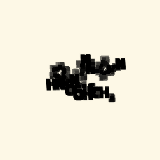 CSCC[C@@H](C(=O)O)N(CCc1cncn1Cc1ccc(C#N)cc1)c1c[nH]c2ccccc12